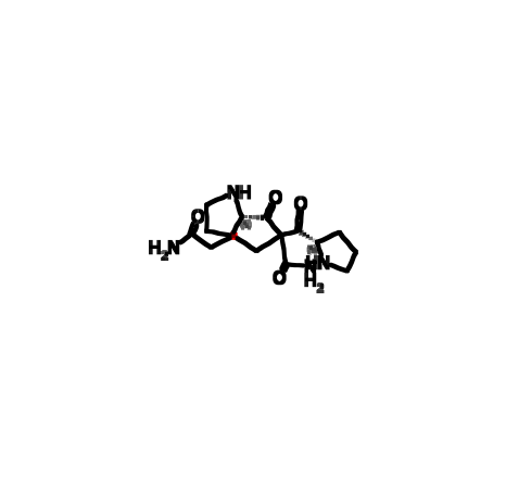 NC(=O)CCCC(C(N)=O)(C(=O)[C@@H]1CCCN1)C(=O)[C@@H]1CCCN1